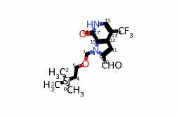 C[Si](C)(C)CCOCn1c(C=O)cc2c(C(F)(F)F)c[nH]c(=O)c21